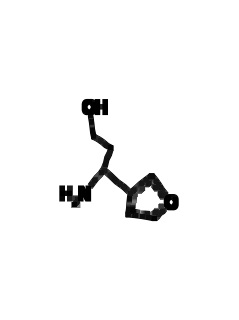 NC(CCO)c1ccoc1